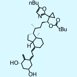 C=C1/C(=C\C=C2/CCC[C@]3(C)[C@@H]([C@H](C)CC[C@H](OC(=O)C(C)(C)C)C4(c5ncc(CCCC)o5)CC4)CC[C@@H]23)C[C@@H](O)C[C@@H]1O